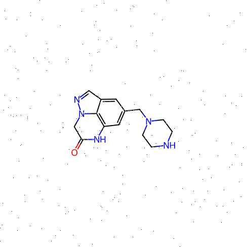 O=C1Cn2ncc3cc(CN4CCNCC4)cc(c32)N1